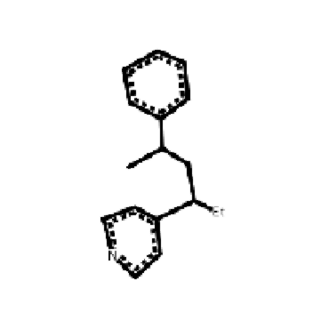 CCC(CC(C)c1ccccc1)c1ccncc1